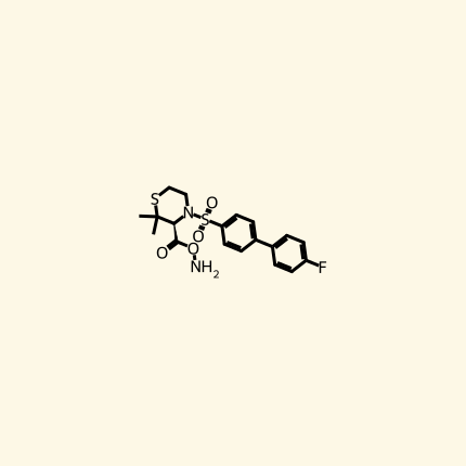 CC1(C)SCCN(S(=O)(=O)c2ccc(-c3ccc(F)cc3)cc2)[C@H]1C(=O)ON